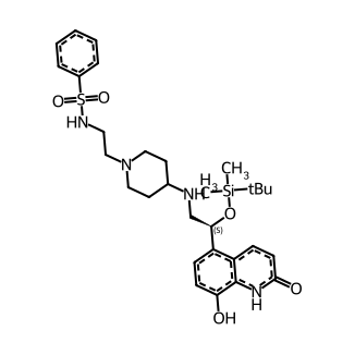 CC(C)(C)[Si](C)(C)O[C@H](CNC1CCN(CCNS(=O)(=O)c2ccccc2)CC1)c1ccc(O)c2[nH]c(=O)ccc12